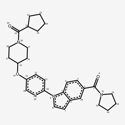 O=C(c1ccc2c(ccn2-c2ccc(OC3CCN(C(=O)C4CCCC4)CC3)cn2)c1)N1CCCC1